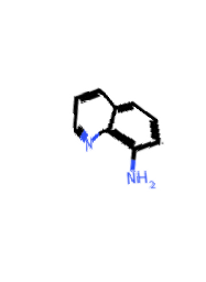 Nc1[c]ccc2cccnc12